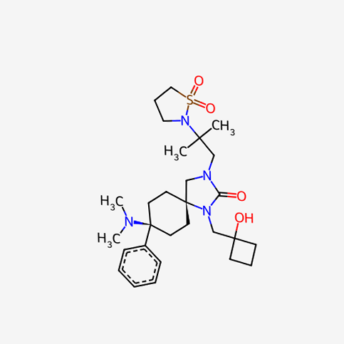 CN(C)[C@]1(c2ccccc2)CC[C@@]2(CC1)CN(CC(C)(C)N1CCCS1(=O)=O)C(=O)N2CC1(O)CCC1